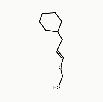 OCOC=CCC1CCCCC1